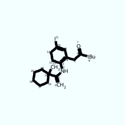 C=C(NC1=C(CC(=O)C(C)(C)C)C=C(I)CC1)C1(C)CCCCC1